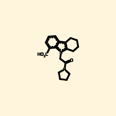 O=C(O)c1cccc2c3c(n(CC(=O)N4CCCC4)c12)CCCC3